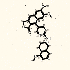 COc1cc2cc3c(c(-c4cnc(N[C@H]5CCc6c(cccc6OC)C5)nc4)c2cc1OC)C(=O)OC3